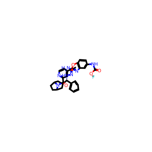 C/C(N)=N/N[C@H](c1ccccc1)C1CC2CCC(C1)N2C(=O)c1cc(-c2nc3cc(NC(=O)OF)ccc3o2)ccn1